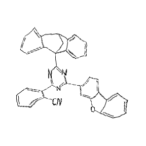 N#Cc1ccccc1-c1nc(-c2ccc3c(c2)oc2ccccc23)nc(C23CC(c4ccccc42)c2ccccc23)n1